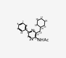 CC(=O)Nc1ncc(-c2ccccc2)nc1CC1CCCCC1